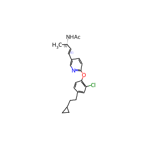 CC(=O)N[C@@H](C)/C=C/c1ccc(Oc2ccc(CCC3CC3)cc2Cl)nc1